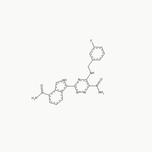 NC(=O)c1nnc(-c2[nH]cc3c(C(N)=O)cccc23)nc1NCc1cccc(F)c1